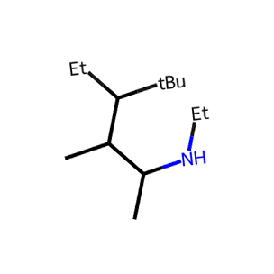 CCNC(C)C(C)C(CC)C(C)(C)C